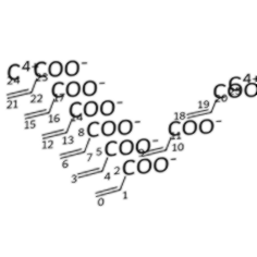 C=CC(=O)[O-].C=CC(=O)[O-].C=CC(=O)[O-].C=CC(=O)[O-].C=CC(=O)[O-].C=CC(=O)[O-].C=CC(=O)[O-].C=CC(=O)[O-].[C+4].[C+4]